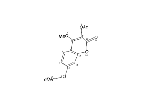 CCCCCCCCCCOc1ccc2c(OC)c(OC(C)=O)c(=O)oc2c1